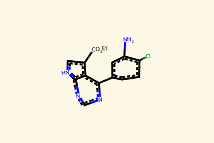 CCOC(=O)c1c[nH]c2ncnc(-c3ccc(Cl)c(N)c3)c12